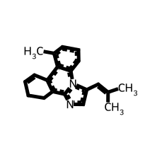 CC(C)=Cc1cnc2c3c(c4c(C)cccc4n12)C=CCC3